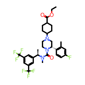 CCOC(=O)C1CCC(N2CCN(C(=O)N(C)[C@H](C)c3cc(C(F)(F)F)cc(C(F)(F)F)c3)[C@@H](c3ccc(F)cc3C)C2)CC1